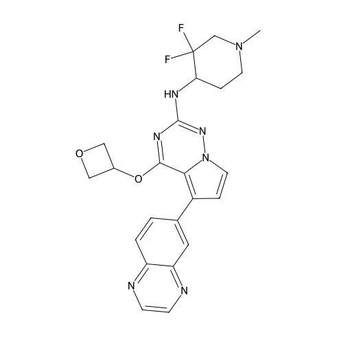 CN1CCC(Nc2nc(OC3COC3)c3c(-c4ccc5nccnc5c4)ccn3n2)C(F)(F)C1